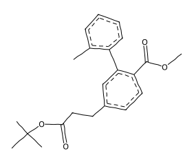 COC(=O)c1ccc(CCC(=O)OC(C)(C)C)cc1-c1ccccc1C